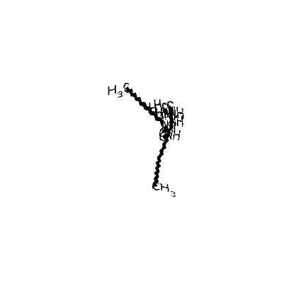 CCCCCCCCCCCCCCCCCC(=O)NC(CCNC(NC)NC)C(=O)NCCCCCCCCCCCCCCCC